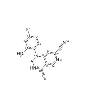 Cc1cc(F)ccc1N1CNC(=O)c2cnc(C#N)cc21